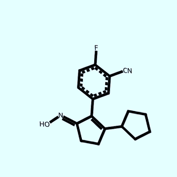 N#Cc1cc(C2=C(C3CCCC3)CCC2=NO)ccc1F